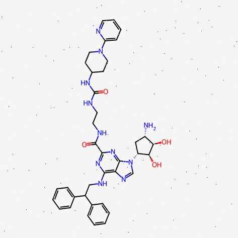 N[C@H]1C[C@@H](n2cnc3c(NCC(c4ccccc4)c4ccccc4)nc(C(=O)NCCNC(=O)NC4CCN(c5ccccn5)CC4)nc32)[C@H](O)[C@@H]1O